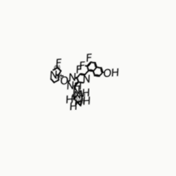 Oc1ccc2c(-c3ncc4c(N5C[C@@H]6N[C@H](C5)[C@H]5C[C@H]56)nc(OC[C@@]56CCCN5C[C@H](F)C6)nc4c3F)c(F)c(F)cc2c1